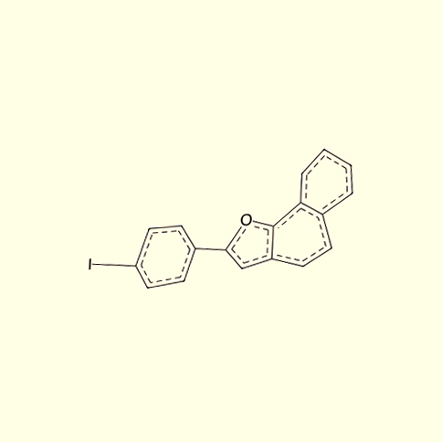 Ic1ccc(-c2cc3ccc4ccccc4c3o2)cc1